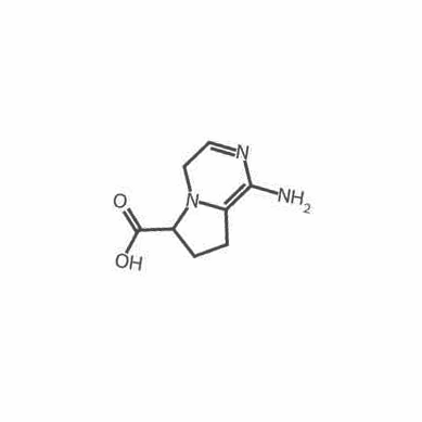 NC1=C2CCC(C(=O)O)N2CC=N1